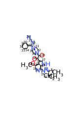 C=CN(N=C(CC)CC)c1ncc(OC)c2c(C(=O)C(=O)N3CCN(/C(=N/C#N)c4ccccc4)CC3)c[nH]c12